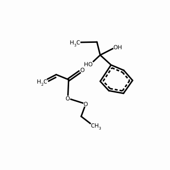 C=CC(=O)OOCC.CCC(O)(O)c1ccccc1